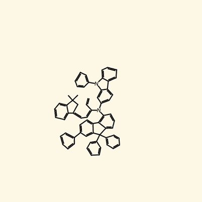 C=C/C(=C\C=C1/CC(C)(C)c2ccccc21)N(c1ccc2c3ccccc3n(-c3ccccc3)c2c1)c1cccc2c1-c1ccc(-c3ccccc3)cc1C2(c1ccccc1)c1ccccc1